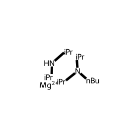 CC(C)NC(C)C.CCCCN(C(C)C)C(C)C.[Mg+2]